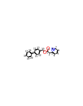 O=C(Cc1ccccn1)OCc1ccc(-c2ccccc2)cc1